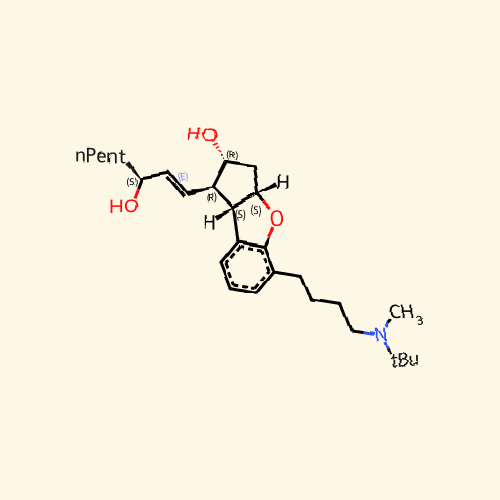 CCCCC[C@H](O)/C=C/[C@@H]1[C@H]2c3cccc(CCCCN(C)C(C)(C)C)c3O[C@H]2C[C@H]1O